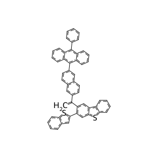 C=C(c1ccc2cc(-c3c4ccccc4c(-c4ccccc4)c4ccccc34)ccc2c1)c1cc2c(cc1-c1cc3ccccc3s1)sc1ccccc12